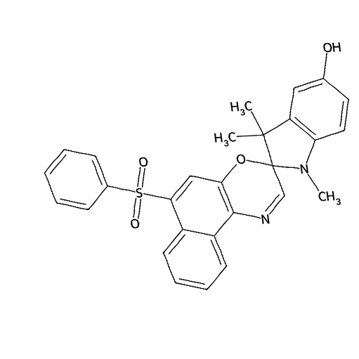 CN1c2ccc(O)cc2C(C)(C)C12C=Nc1c(cc(S(=O)(=O)c3ccccc3)c3ccccc13)O2